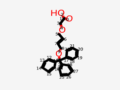 O=C(O)COCC=CCOC(c1ccccc1)(c1ccccc1)c1ccccc1